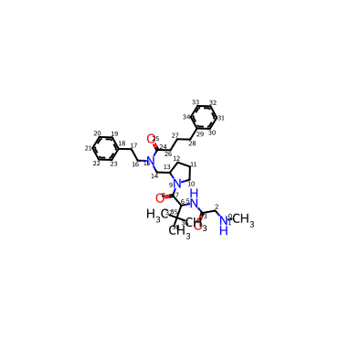 CNCC(=O)NC(C(=O)N1CCCC1CN(CCc1ccccc1)C(=O)CCCc1ccccc1)C(C)(C)C